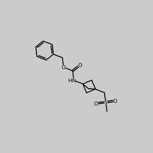 CS(=O)(=O)CC12CC(NC(=O)OCc3ccccc3)(C1)C2